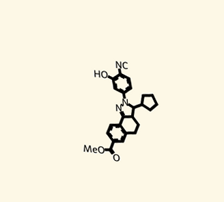 [C-]#[N+]c1ccc(N2N=C3c4ccc(C(=O)OC)cc4CCC3C2C2CCCC2)cc1O